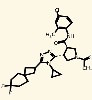 CC(=O)N1C[C@H](C(=O)Nc2ccc(Cl)cc2C)[C@@H](c2nnc(C3CC4(CCC(F)(F)CC4)C3)n2C2CC2)C1